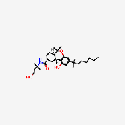 CCCCCCC(C)(C)c1cc(O)c2c(c1)OC(C)(C)[C@@H]1CC[C@H](C(=O)NC(C)(C)CCO)C[C@@H]21